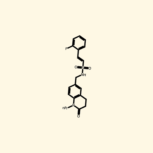 CCCN1C(=O)CCc2cc(CNS(=O)(=O)/C=C/c3ccccc3F)ccc21